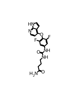 NC(=O)CCCNC(=O)Nc1cc(F)c(Oc2ccnc3[nH]ccc23)c(F)c1